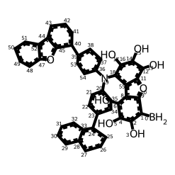 Bc1c(O)c(O)c(O)c2c1oc1c(O)c(O)c(O)c(N(c3ccc(-c4cccc5ccccc45)cc3)c3ccc(-c4cccc5c4oc4ccccc45)cc3)c12